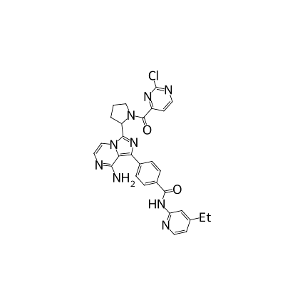 CCc1ccnc(NC(=O)c2ccc(-c3nc(C4CCCN4C(=O)c4ccnc(Cl)n4)n4ccnc(N)c34)cc2)c1